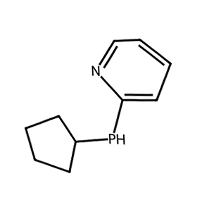 c1ccc(PC2CCCC2)nc1